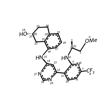 COC[C@H](C)Nc1nc(C(F)(F)F)ccc1-c1cc(Nc2cccc3c2C[C@H](O)CC3)ncn1